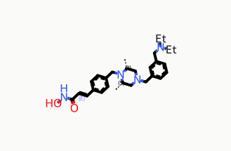 CCN(CC)Cc1cccc(CN2C[C@@H](C)N(Cc3ccc(/C=C/C(=O)NO)cc3)[C@@H](C)C2)c1